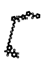 Cn1c(=O)n(C2CCC(=O)NC2=O)c2ccc(CCCOCCOCCOCCn3nccc3C(=O)Nc3cc([C@H]4CC[C@@H](OC(=O)N5CCCC5)C4)[nH]n3)cc21